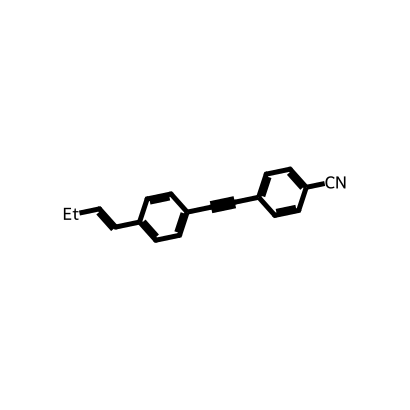 CC/C=C/c1ccc(C#Cc2ccc(C#N)cc2)cc1